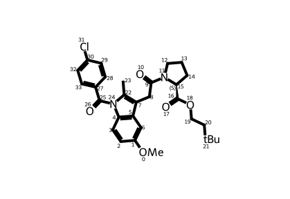 COc1ccc2c(c1)c(CC(=O)N1CCC[C@H]1C(=O)OCCC(C)(C)C)c(C)n2C(=O)c1ccc(Cl)cc1